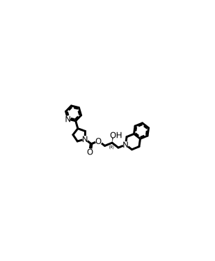 O=C(OC[C@H](O)CN1CCc2ccccc2C1)N1CCC(c2ccccn2)C1